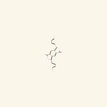 O=C1NC(c2ccc(Br)s2)=c2cc3c(cc21)=C(c1ccc(Br)s1)NC3=O